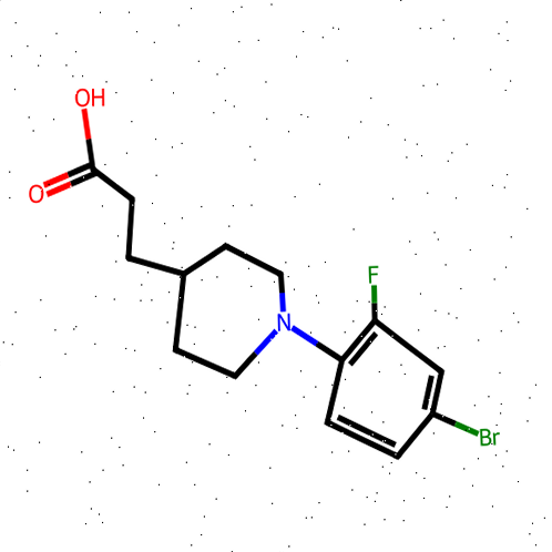 O=C(O)CCC1CCN(c2ccc(Br)cc2F)CC1